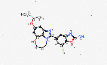 C[C@H](Oc1cc2c3c(c1)nc(-c1cc(F)c4oc(N)nc4c1)n3CCCO2)C(=O)O